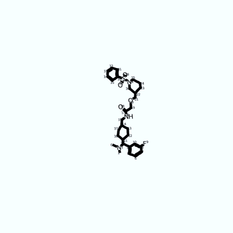 CN(C)C(c1cccc(F)c1)C1CCC(CNC(=O)COCC2CCCN(S(=O)(=O)c3ccccc3)C2)CC1